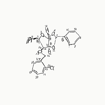 CC(C)[C@H]1O[C@@H]2OC(c3ccccc3)O[C@@H]2[C@H]1OCc1ccccc1Cl